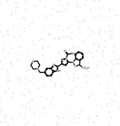 NC(=O)n1nc(-c2nc3cc(CN4CCOCC4)ccc3[nH]2)[c]c1N1OC(C(=O)O)c2ccccc21